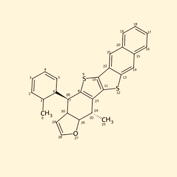 CC1C=CC=CC1[C@H]1c2sc3c(sc4cc5ccccc5cc43)c2[C@H](C)C2OC=CC21